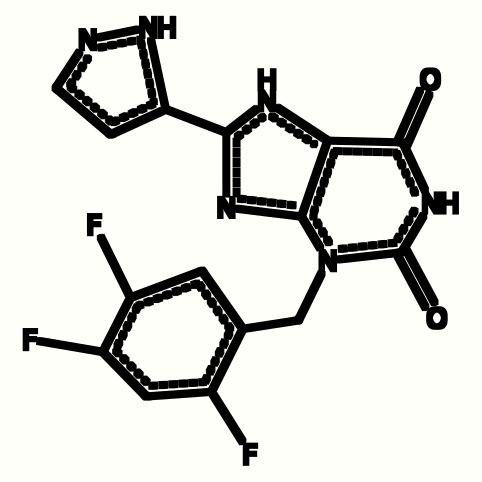 O=c1[nH]c(=O)n(Cc2cc(F)c(F)cc2F)c2nc(-c3ccn[nH]3)[nH]c12